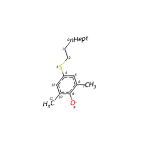 CCCCCCCCCSc1cc(C)c([O])c(C)c1